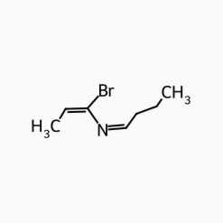 C/C=C(Br)\N=C/CCC